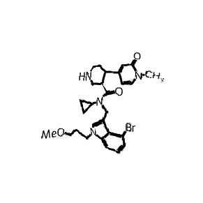 COCCCn1cc(CN(C(=O)[C@H]2CNCCC2c2ccn(C)c(=O)c2)C2CC2)c2c(Br)cccc21